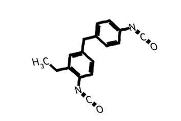 CCc1cc(Cc2ccc(N=C=O)cc2)ccc1N=C=O